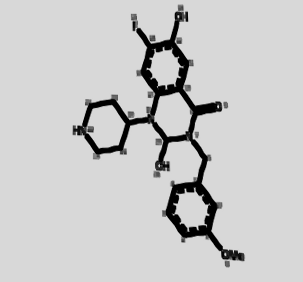 COc1cccc(CN2C(=O)c3cc(O)c(F)cc3N(C3CCNCC3)C2O)c1